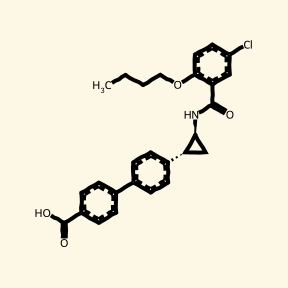 CCCCOc1ccc(Cl)cc1C(=O)N[C@H]1C[C@@H]1c1ccc(-c2ccc(C(=O)O)cc2)cc1